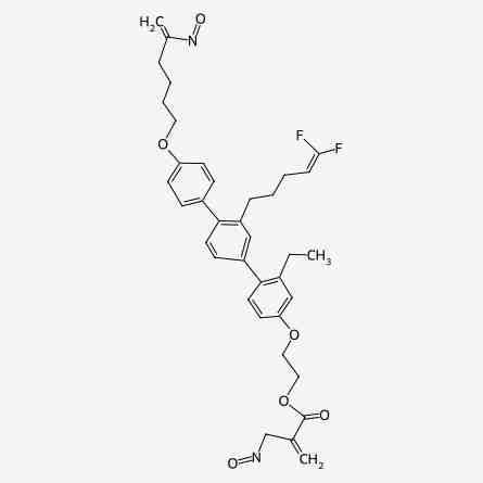 C=C(CCCCOc1ccc(-c2ccc(-c3ccc(OCCOC(=O)C(=C)CN=O)cc3CC)cc2CCCC=C(F)F)cc1)N=O